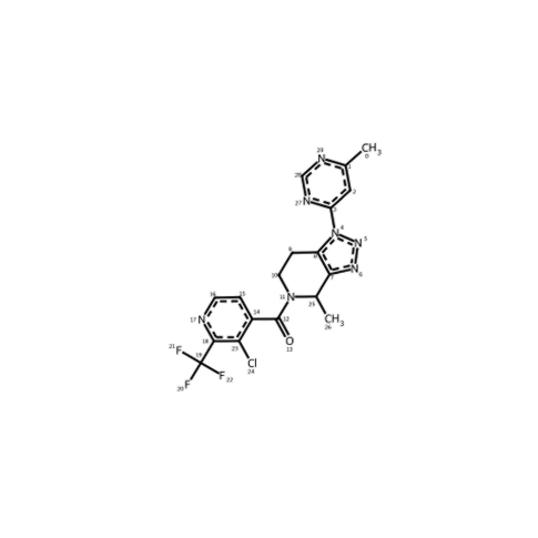 Cc1cc(-n2nnc3c2CCN(C(=O)c2ccnc(C(F)(F)F)c2Cl)C3C)ncn1